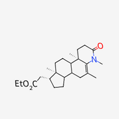 CCOC(=O)C[C@H]1CCC2C3CC(C)=C4N(C)C(=O)CC[C@]4(C)C3CC[C@@]21C